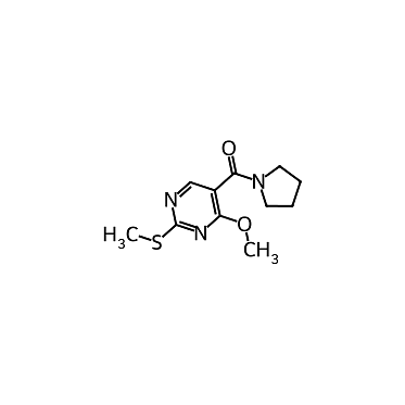 COc1nc(SC)ncc1C(=O)N1CCCC1